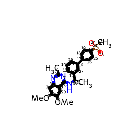 COc1cc2nc(C)nc(N[C@H](C)c3cccc(-c4ccc(S(C)(=O)=O)cc4)c3)c2cc1OC